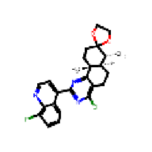 C[C@@H]1[C@H]2CCc3c(Cl)nc(-c4ccnc5c(F)cccc45)nc3[C@]2(C)CCC12OCCO2